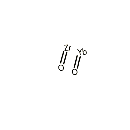 [O]=[Yb].[O]=[Zr]